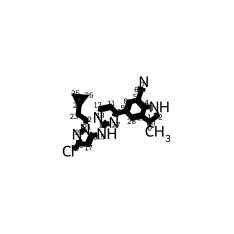 C[C@@H]1CNc2c(C#N)cc(-c3ccnc(Nc4cc(Cl)nn4CCC4CC4)n3)cc21